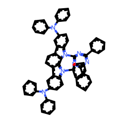 c1ccc(-c2nc(-c3ccccc3)nc(-n3c4ccc(N(c5ccccc5)c5ccccc5)cc4c4ccc5c6cc(N(c7ccccc7)c7ccccc7)ccc6n(-c6ccccc6)c5c43)n2)cc1